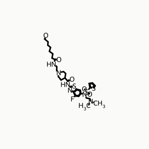 CN(C)CCN(c1cc(F)c2nc(NC(=O)C3CCN(CCNC(=O)CCCCCCC=O)CC3)sc2c1)S(=O)(=O)c1cccs1